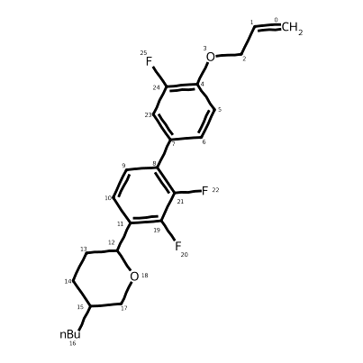 C=CCOc1ccc(-c2ccc(C3CCC(CCCC)CO3)c(F)c2F)cc1F